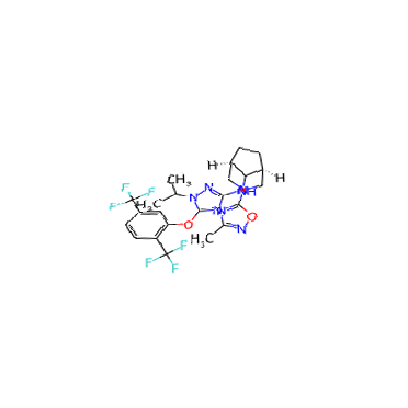 Cc1noc(N2C[C@H]3CC[C@@H](C2)C3Nc2nc(Oc3cc(C(F)(F)F)ccc3C(F)(F)F)n(C(C)C)n2)n1